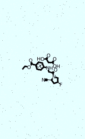 CCOC(=O)C12CCC(NCC(=O)N3C[C@@H](F)C[C@H]3C#N)(CC1)CC2.O=C(O)CC(=O)O